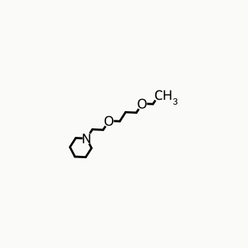 CCOCCCOCCN1CCCCC1